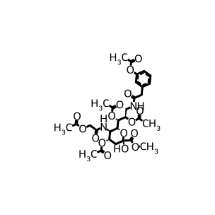 COC(=O)[C@]1(O)C[C@H](OC(C)=O)[C@@H](NC(=O)COC(C)=O)[C@H]([C@H](OC(C)=O)[C@@H](CNC(=O)Cc2cccc(OC(C)=O)c2)OC(C)=O)O1